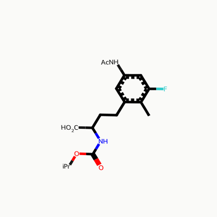 CC(=O)Nc1cc(F)c(C)c(CCC(NC(=O)OC(C)C)C(=O)O)c1